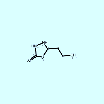 CCCC1NNC(=O)O1